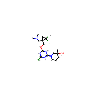 CN(C)CC1(COc2nc(Cl)nc(N3CCC[C@@](C)(O)C3)n2)CC1(F)F